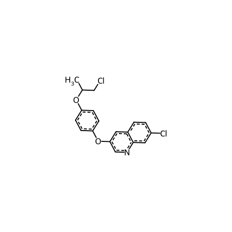 CC(CCl)Oc1ccc(Oc2cnc3cc(Cl)ccc3c2)cc1